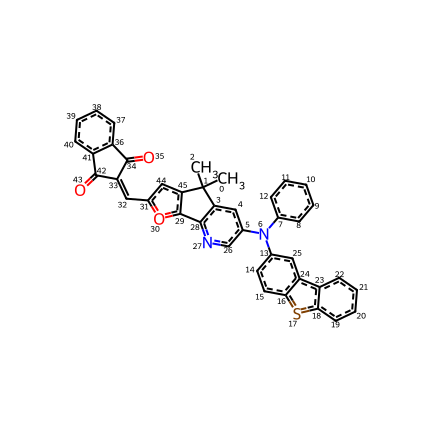 CC1(C)c2cc(N(c3ccccc3)c3ccc4sc5ccccc5c4c3)cnc2-c2oc(C=C3C(=O)c4ccccc4C3=O)cc21